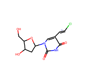 O=c1[nH]c(=O)n(C2CC(O)C(CO)O2)cc1/C=C/Cl